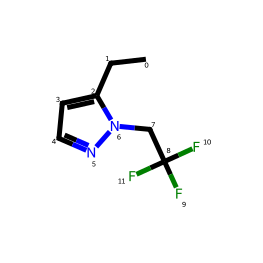 CCc1ccnn1CC(F)(F)F